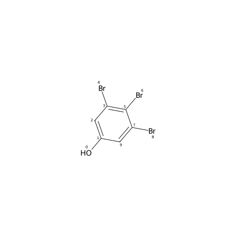 Oc1cc(Br)c(Br)c(Br)c1